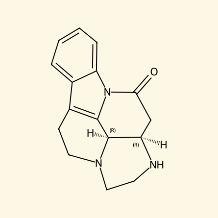 O=C1C[C@H]2NCCN3CCc4c(n1c1ccccc41)[C@@H]23